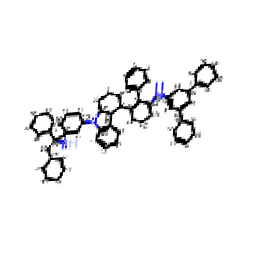 C1=CCCC(C2=C(C3CCCC4C3C3=C(C=CCC3)N4C3C=CCC4(C3)N[C@]4(CC3C=CCCC3)C3CCCCC3)CCC=C2NC2=CC(C3CC=CCC3)=CC(C3=CCCCC3)C2)=C1